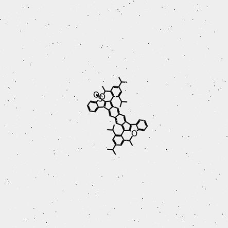 CC(C)c1cc(C(C)C)c(C2=c3cc4cc5c(cc4cc3C3=C2S(=O)(=O)c2ccccc23)=C(c2c(C(C)C)cc(C(C)C)cc2C(C)C)c2oc3ccccc3c2-5)c(C(C)C)c1